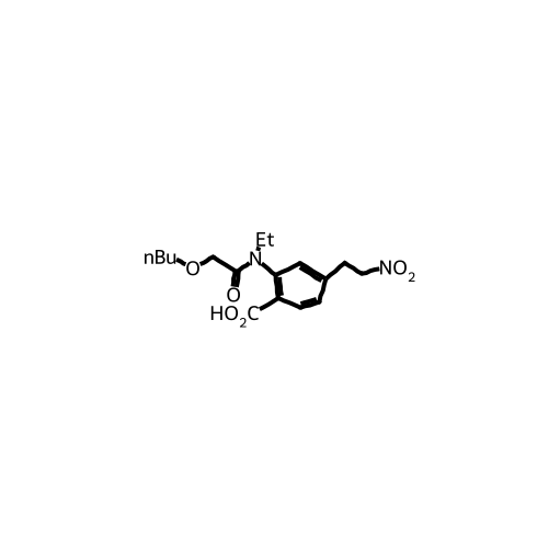 CCCCOCC(=O)N(CC)c1cc(CC[N+](=O)[O-])ccc1C(=O)O